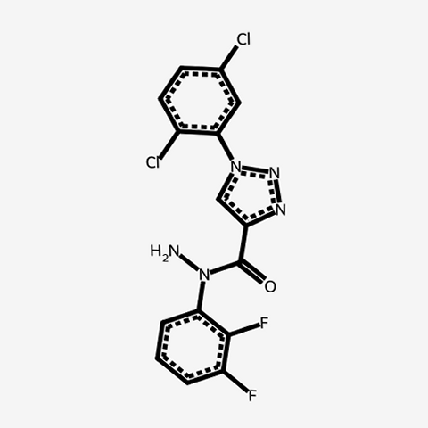 NN(C(=O)c1cn(-c2cc(Cl)ccc2Cl)nn1)c1cccc(F)c1F